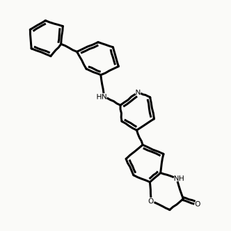 O=C1COc2ccc(-c3ccnc(Nc4cccc(-c5ccccc5)c4)c3)cc2N1